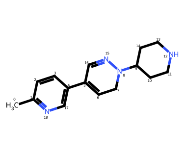 Cc1ccc(C2=CCN(C3CCNCC3)N=C2)cn1